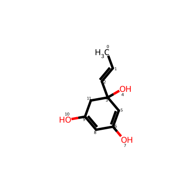 CC=CC1(O)C=C(O)C=C(O)C1